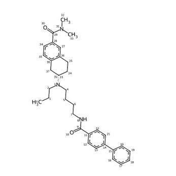 CCCN(CCCCNC(=O)c1ccc(-c2ccccc2)cc1)[C@H]1CCc2cc(C(=O)N(C)C)ccc2C1